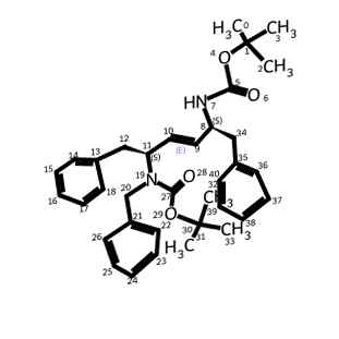 CC(C)(C)OC(=O)N[C@H](/C=C/[C@H](Cc1ccccc1)N(Cc1ccccc1)C(=O)OC(C)(C)C)Cc1ccccc1